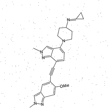 COc1cc2nn(C)cc2cc1C#Cc1ccc(N2CCC(N=C3CC3)CC2)c2cn(C)nc12